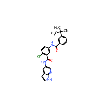 CC(C)(C#N)c1cccc(C(=O)Nc2ccc(Cl)c(C(=O)Nc3cnc4[nH]ccc4c3)c2)c1